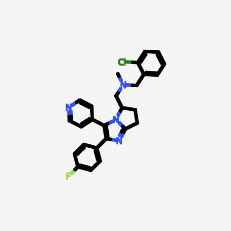 CN(Cc1ccccc1Cl)CC1CCc2nc(-c3ccc(F)cc3)c(-c3ccncc3)n21